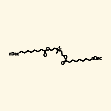 CCCCCCCCCCCCCCCCCC(=O)OCC[N+](C)(C)CCOC(=O)CCCCCCCCCCCCCCCCC